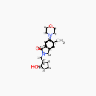 Cc1cc2c(cc1N1CCOCC1)C(=O)N(C[C@H]1CCC[C@H]1O)C2